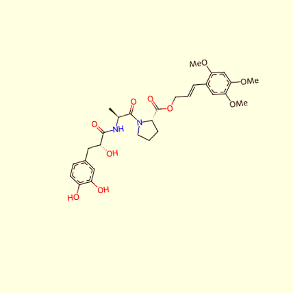 COc1cc(OC)c(OC)cc1/C=C/COC(=O)[C@@H]1CCCN1C(=O)[C@H](C)NC(=O)[C@H](O)Cc1ccc(O)c(O)c1